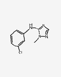 Cn1ncnc1Nc1cccc(Cl)c1